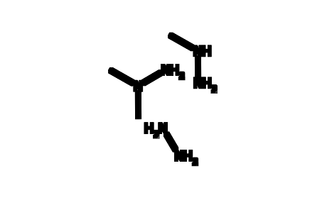 CN(C)N.CNN.NN